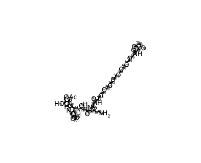 CC(=O)OCc1c(O)cc2n(c1=O)Cc1c-2nc2cc3c(cc2c1CNC(=O)CNC(=O)C(CCCCN)NC(=O)CNC(=O)CCOCCOCCOCCOCCOCCOCCOCCOCCNC(=O)CN1C(=O)C=CC1=O)OCO3